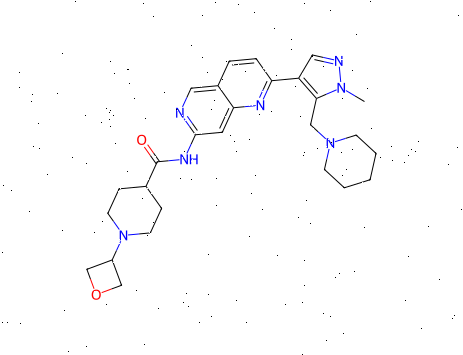 Cn1ncc(-c2ccc3cnc(NC(=O)C4CCN(C5COC5)CC4)cc3n2)c1CN1CCCCC1